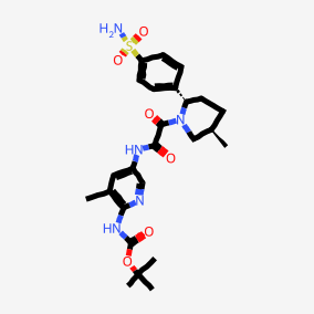 Cc1cc(NC(=O)C(=O)N2C[C@H](C)CC[C@H]2c2ccc(S(N)(=O)=O)cc2)cnc1NC(=O)OC(C)(C)C